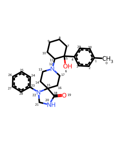 Cc1ccc(C2(O)CCCCC2N2CCC3(CC2)C(=O)NCN3c2ccccc2)cc1